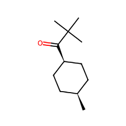 CC(C)(C)C(=O)[C@H]1CC[C@@H](C)CC1